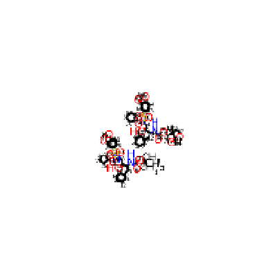 CC(C)(C)OC(=O)NC(Cc1ccccc1)C(O)CN(OC1CCCC1)S(=O)(=O)c1ccc2c(c1)OCO2.O=C(N[C@@H](Cc1ccccc1)[C@H](O)CN(OC1CCCC1)S(=O)(=O)c1ccc2c(c1)OCO2)O[C@H]1CO[C@H]2OCC[C@H]21